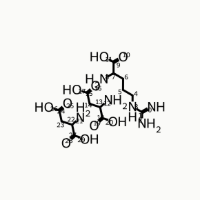 N=C(N)NCCCC(N)C(=O)O.NC(CC(=O)O)C(=O)O.NC(CC(=O)O)C(=O)O